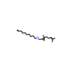 C=CCCCCCCCC/N=C/C1CC1(C)CCC=C(C)C